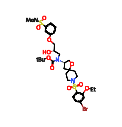 CCOc1cc(Br)ccc1S(=O)(=O)N1CCC2(CC1)C[C@H](N(C[C@H](O)COc1cccc(S(=O)(=O)NC)c1)C(=O)OC(C)(C)C)CO2